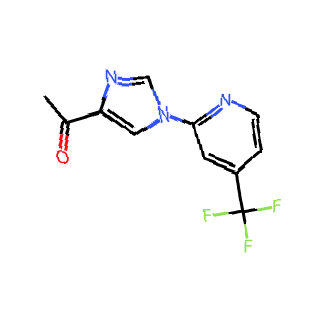 CC(=O)c1cn(-c2cc(C(F)(F)F)ccn2)cn1